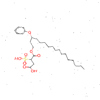 CCCCCCCCCCCCCCC(CCOC(=O)C(CC(=O)O)S(=O)(=O)O)Oc1ccccc1